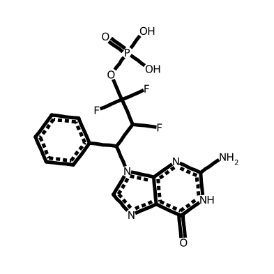 Nc1nc2c(ncn2C(c2ccccc2)C(F)C(F)(F)OP(=O)(O)O)c(=O)[nH]1